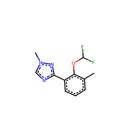 Cc1cccc(-c2ncn(C)n2)c1OC(F)F